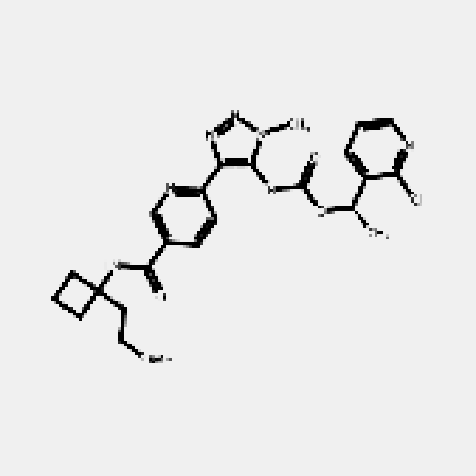 COCCC1(NC(=O)c2ccc(-c3nnn(C)c3NC(=O)O[C@H](C)c3cccnc3Cl)nc2)CCC1